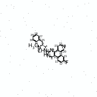 CN(C)[C@H](CNc1ncc(-c2ccc(F)cc2)c(-c2ccncc2)n1)Cc1ccccc1